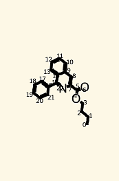 CCCCOC(=O)c1cc2ccccc2c(-c2ccccc2)n1